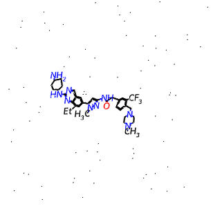 CCc1cc(-c2cc(NC(=O)Cc3ccc(CN4CCN(C)CC4)c(C(F)(F)F)c3)nn2C)cc2cnc(NC3CCC(N)CC3)nc12